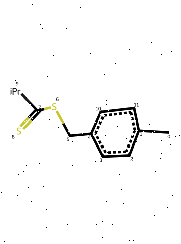 Cc1ccc(CSC(=S)C(C)C)cc1